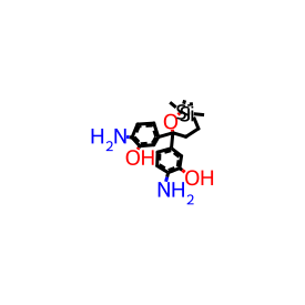 C[Si]1(C)CCC(c2ccc(N)c(O)c2)(c2ccc(N)c(O)c2)O[Si]1(C)C